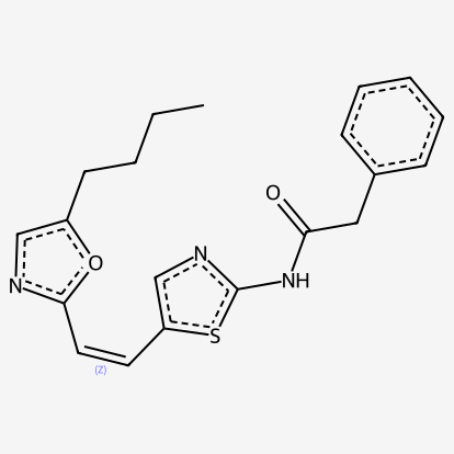 CCCCc1cnc(/C=C\c2cnc(NC(=O)Cc3ccccc3)s2)o1